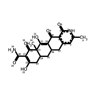 Cc1cc2c(c(=O)[nH]1)C(=O)C1=C(O)C3(C)C(=O)C(C(N)=O)=C(O)CC3CC1C2